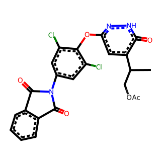 CC(=O)OCC(C)c1cc(Oc2c(Cl)cc(N3C(=O)c4ccccc4C3=O)cc2Cl)n[nH]c1=O